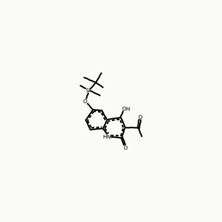 CC(=O)c1c(O)c2cc(O[Si](C)(C)C(C)(C)C)ccc2[nH]c1=O